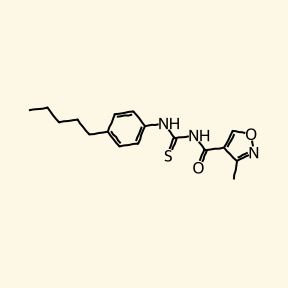 CCCCCc1ccc(NC(=S)NC(=O)c2conc2C)cc1